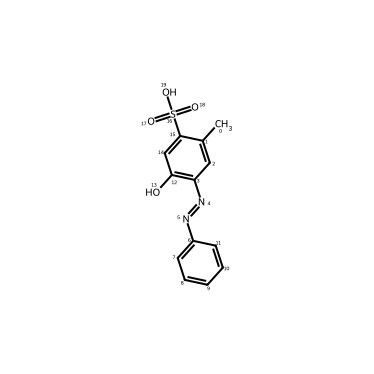 Cc1cc(/N=N/c2ccccc2)c(O)cc1S(=O)(=O)O